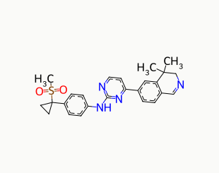 CC1(C)CN=Cc2ccc(-c3ccnc(Nc4ccc(C5(S(C)(=O)=O)CC5)cc4)n3)cc21